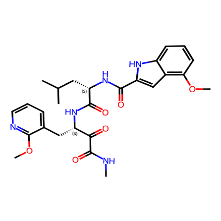 CNC(=O)C(=O)[C@H](Cc1cccnc1OC)NC(=O)[C@H](CC(C)C)NC(=O)c1cc2c(OC)cccc2[nH]1